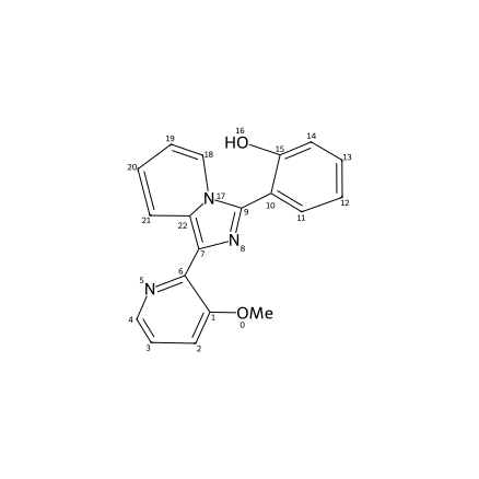 COc1cccnc1-c1nc(-c2ccccc2O)n2ccccc12